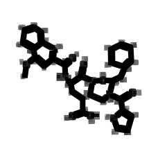 COc1cc(C(=O)NC(CCC(=O)O)C(=O)N2CCN(C(=O)c3ccco3)C(Cc3ccccc3)C2)nc2ccccc12